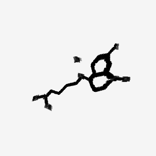 CCN(CC)CCCCNc1cc[n+](CC)c2cc(Cl)ccc12.[Br-]